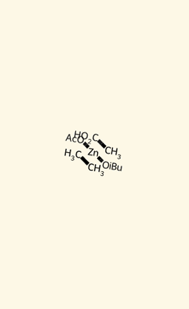 CC.CC(=O)O.CC(=O)[O][Zn][O]CC(C)C